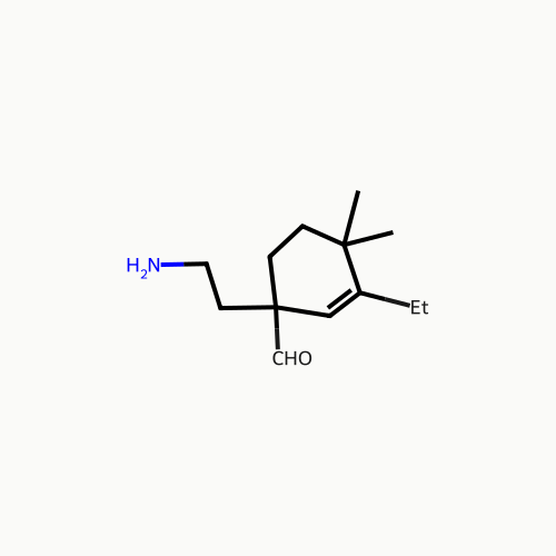 CCC1=CC(C=O)(CCN)CCC1(C)C